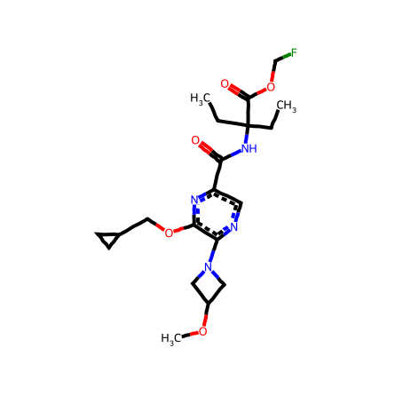 CCC(CC)(NC(=O)c1cnc(N2CC(OC)C2)c(OCC2CC2)n1)C(=O)OCF